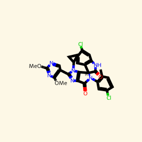 COc1ncc(-c2nc3c(n2C2CC2)[C@]2(C(=O)Nc4cc(Cl)ccc42)N(c2cc(Cl)ccc2C)C3=O)c(OC)n1